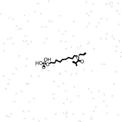 C=CCN(CCCCCCCCCOP(=O)(O)O)C(=O)C(=C)C